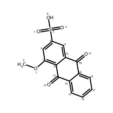 COc1cc(S(=O)(=O)O)cc2c1C(=O)c1ccccc1C2=O